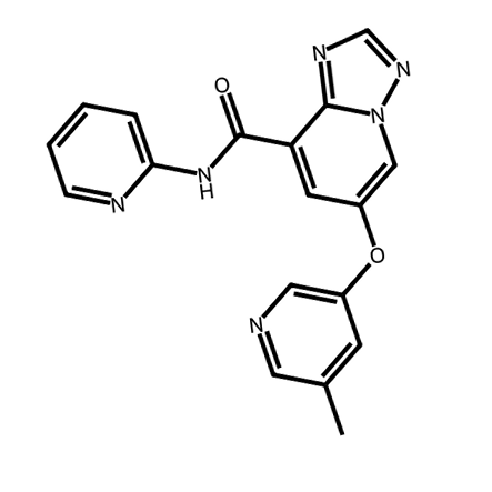 Cc1cncc(Oc2cc(C(=O)Nc3ccccn3)c3ncnn3c2)c1